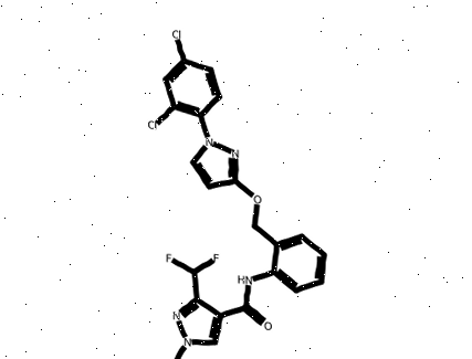 Cn1cc(C(=O)Nc2ccccc2COc2ccn(-c3ccc(Cl)cc3Cl)n2)c(C(F)F)n1